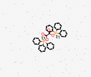 CCP(OC(=O)C(=O)OP(CC)(c1ccccc1)(c1ccccc1)c1ccccc1)(c1ccccc1)(c1ccccc1)c1ccccc1